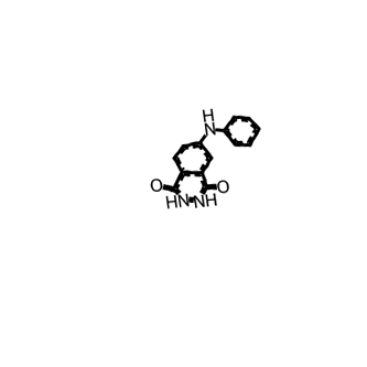 O=c1[nH][nH]c(=O)c2cc(Nc3ccccc3)ccc12